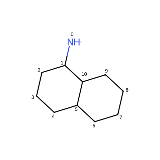 [NH]C1CCCC2CCCCC12